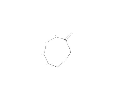 O=C1CSCCCSC1